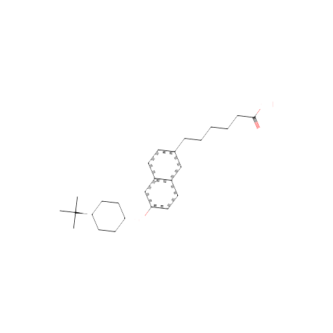 CC(C)(C)[C@H]1CC[C@H](Oc2ccc3cc(CCCCCC(=O)O)ccc3c2)CC1